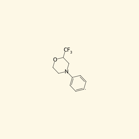 FC(F)(F)C1CN(c2cc[c]cc2)CCO1